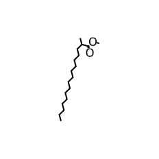 CCCCCCCCCCCCCCC(C)C(=O)OC